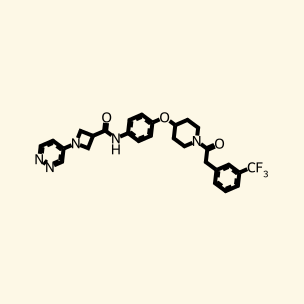 O=C(Nc1ccc(OC2CCN(C(=O)Cc3cccc(C(F)(F)F)c3)CC2)cc1)C1CN(c2ccnnc2)C1